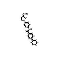 CNC1CCN(c2ccc(NC(=O)c3ccc(C4CCCCC4)cc3)cc2)C1